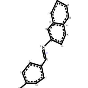 Fc1ccc(/C=N/c2ccc3ccccc3c2)cc1